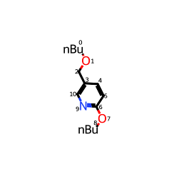 CCCCOCc1ccc(OCCCC)nc1